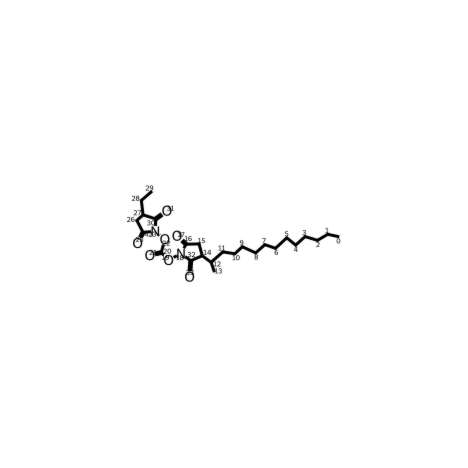 CCCCCCCCCCCCC(C)C1CC(=O)N(OC(=O)ON2C(=O)CC(CC)C2=O)C1=O